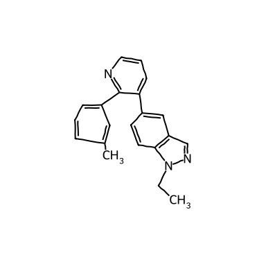 CCn1ncc2cc(-c3cccnc3-c3cccc(C)c3)ccc21